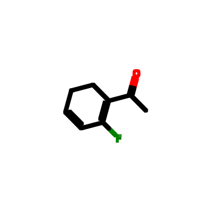 CC(=O)C1=C(F)C=CCC1